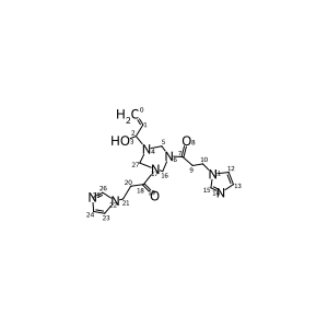 C=CC(O)N1CN(C(=O)CCn2ccnc2)CN(C(=O)CCn2ccnc2)C1